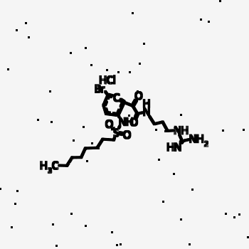 CCCCCCCCS(=O)(=O)Nc1ccc(Br)cc1C(=O)C(=O)NCCCNC(=N)N.Cl